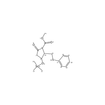 COC(=O)C1C(=O)CC(O[Si](C)(C)C)C1CSc1ccccc1